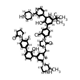 C[C@@H]1CN(c2cc(-c3cccc(-c4ccc(N5CCCC5=O)c(F)c4)c3O)cc(CN3CCN(c4ccc(-c5cc(C(C)(C)C)cc(-c6ccnc(N7CCNCC7)c6)c5O)cc4Cl)C3=O)n2)CCN1